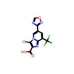 O=C(O)c1nc2c(C(F)(F)F)cc(-c3ncon3)cn2c1Cl